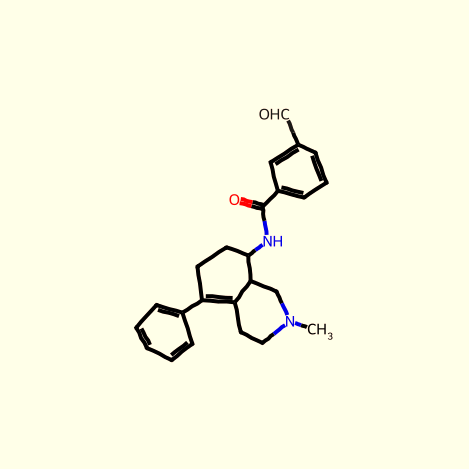 CN1CCC2=C(c3ccccc3)CCC(NC(=O)c3cccc(C=O)c3)C2C1